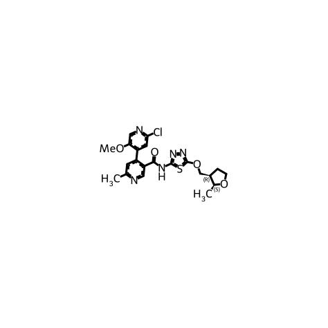 COc1cnc(Cl)cc1-c1cc(C)ncc1C(=O)Nc1nnc(OC[C@H]2CCO[C@H]2C)s1